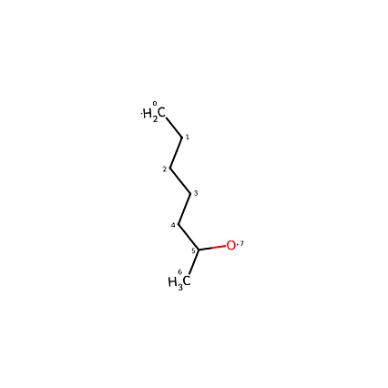 [CH2]CCCCC(C)[O]